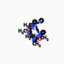 CCn1nc(C)cc1C(=O)/N=c1\n(C)c2ccccc2n1C/C=C/Cn1/c(=N/C(=O)c2cc(C)nn2CC)n(C)c2cccc(CN3CCCCC3)c21